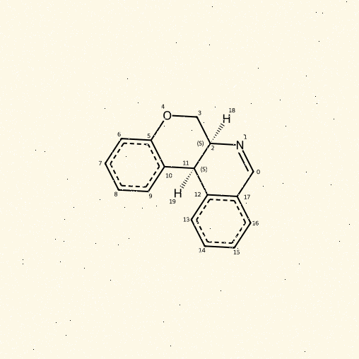 C1=N[C@@H]2COc3ccccc3[C@@H]2c2ccccc21